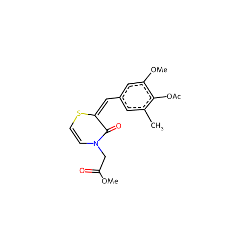 COC(=O)CN1C=CSC(=Cc2cc(C)c(OC(C)=O)c(OC)c2)C1=O